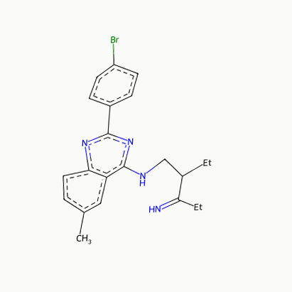 CCC(=N)C(CC)CNc1nc(-c2ccc(Br)cc2)nc2ccc(C)cc12